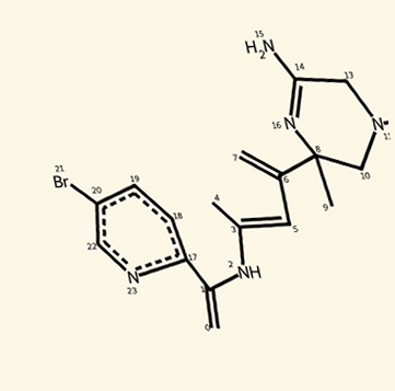 C=C(N/C(C)=C/C(=C)C1(C)CN(C)CC(N)=N1)c1ccc(Br)cn1